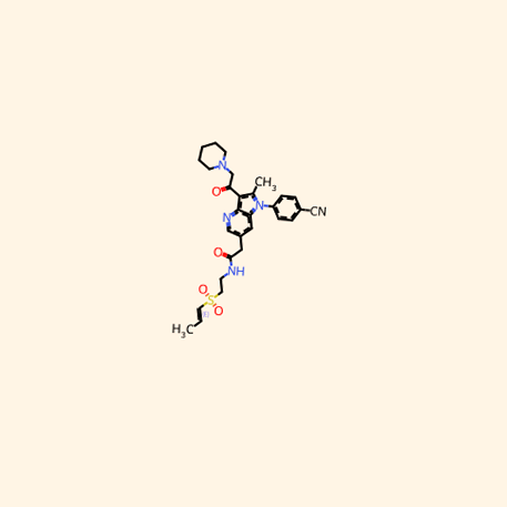 C/C=C/S(=O)(=O)CCNC(=O)Cc1cnc2c(C(=O)CN3CCCCC3)c(C)n(-c3ccc(C#N)cc3)c2c1